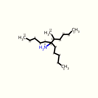 CCCCCC(N)(CCCCC)C(C)CCCC